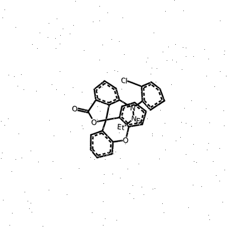 CCN(CC)N(c1ccccc1Cl)c1cccc2c1C1(OC2=O)c2ccccc2Oc2ccccc21